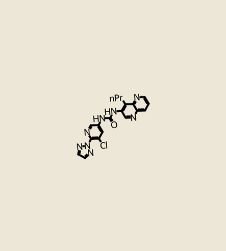 CCCc1c(NC(=O)Nc2cnc(-n3nccn3)c(Cl)c2)cnc2cccnc12